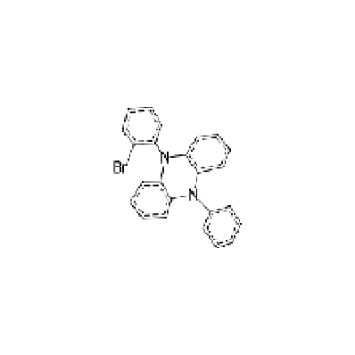 Brc1ccccc1N1c2ccccc2N(c2ccccc2)c2ccccc21